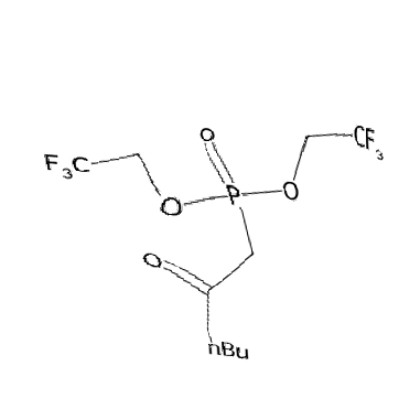 CCCCC(=O)CP(=O)(OCC(F)(F)F)OCC(F)(F)F